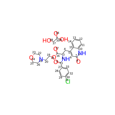 O=C(NC(Cc1cc(=O)[nH]c2ccccc12)C(=O)OCCN1CCOCC1)c1ccc(Cl)cc1.O=C(O)CO